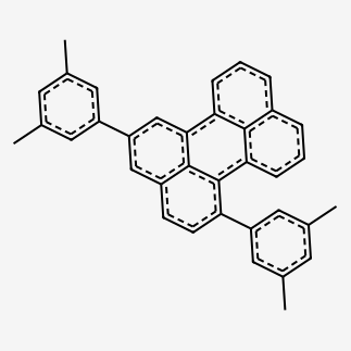 Cc1cc(C)cc(-c2cc3ccc(-c4cc(C)cc(C)c4)c4c5cccc6cccc(c(c2)c34)c65)c1